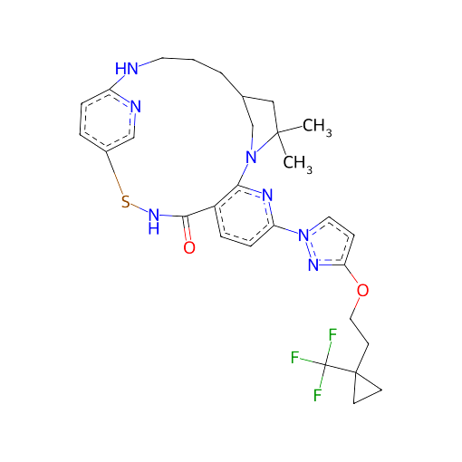 CC1(C)CC2CCCNc3ccc(cn3)SNC(=O)c3ccc(-n4ccc(OCCC5(C(F)(F)F)CC5)n4)nc3N1C2